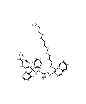 CCCCCCCCCCCCOc1c(OCC(O)COC(c2ccccc2)(c2ccccc2)c2ccc(OC)cc2)ccc2ccccc12